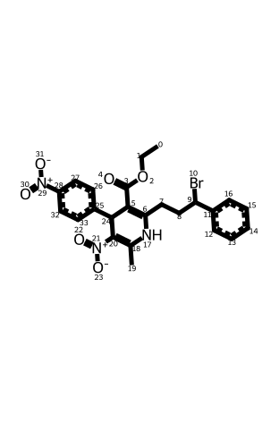 CCOC(=O)C1=C(CCC(Br)c2ccccc2)NC(C)=C([N+](=O)[O-])C1c1ccc([N+](=O)[O-])cc1